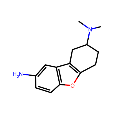 CN(C)C1CCc2oc3ccc(N)cc3c2C1